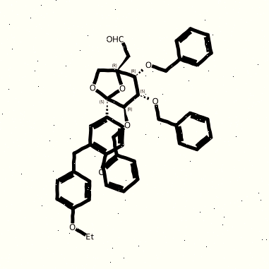 CCOc1ccc(Cc2cc([C@]34OC[C@@](CC=O)(O3)[C@H](OCc3ccccc3)[C@H](OCc3ccccc3)[C@H]4OCc3ccccc3)ccc2Cl)cc1